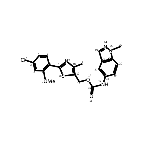 COc1cc(Cl)ccc1-c1nc(C)c(COC(=O)Nc2ccc3c(cnn3C)c2)s1